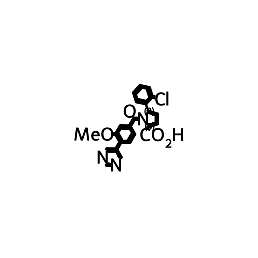 COc1cc(C(=O)N2[C@@H](c3ccccc3Cl)CC[C@H]2C(=O)O)ccc1-c1cncnc1